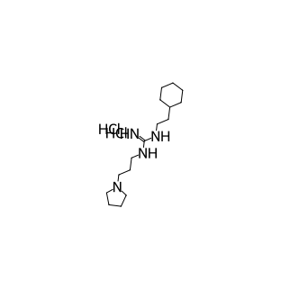 Cl.Cl.N=C(NCCCN1CCCC1)NCCC1CCCCC1